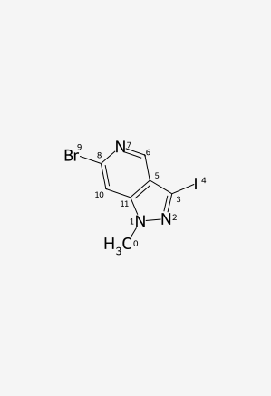 Cn1nc(I)c2cnc(Br)cc21